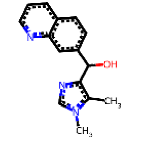 Cc1c(C(O)c2ccc3cccnc3c2)ncn1C